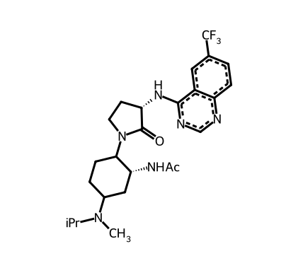 CC(=O)N[C@@H]1CC(N(C)C(C)C)CCC1N1CC[C@H](Nc2ncnc3ccc(C(F)(F)F)cc23)C1=O